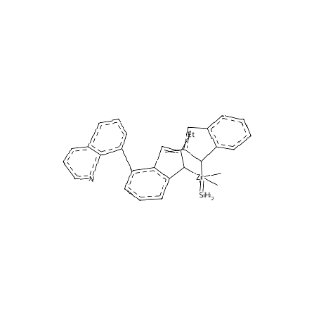 CCC1=Cc2c(-c3cccc4cccnc34)cccc2[CH]1[Zr]([CH3])([CH3])(=[SiH2])[CH]1C(C)=Cc2ccccc21